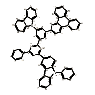 c1ccc(-c2cc(-c3ccc4c(c3)c3ccccc3n4-c3ccccc3)nc(-c3cc(-c4ccc5c6ccccc6c6ccccc6c5c4)cc(-n4c5ccccc5c5ccccc54)c3)n2)cc1